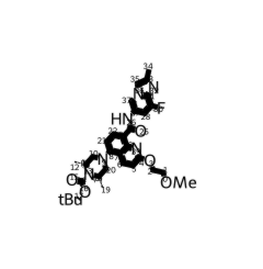 COCCOc1ccc2c(N3C[C@@H](C)N(C(=O)OC(C)(C)C)[C@@H](C)C3)ccc(C(=O)Nc3cc(F)c4nc(C)cn4c3)c2n1